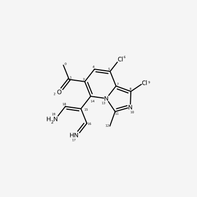 CC(=O)c1cc(Cl)c2c(Cl)nc(C)n2c1/C(C=N)=C/N